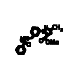 COC(=O)c1cc(C)nn1-c1cccc(CNS(=O)(=O)c2ccccc2)c1